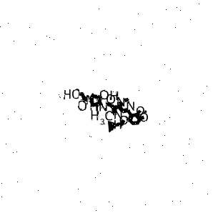 Cc1[nH]c2c(-c3c(OCC4CC4)ccc4c3OCO4)ncnc2c1C(=O)N[C@@H]1CN(C(=O)CO)C[C@@H]1O